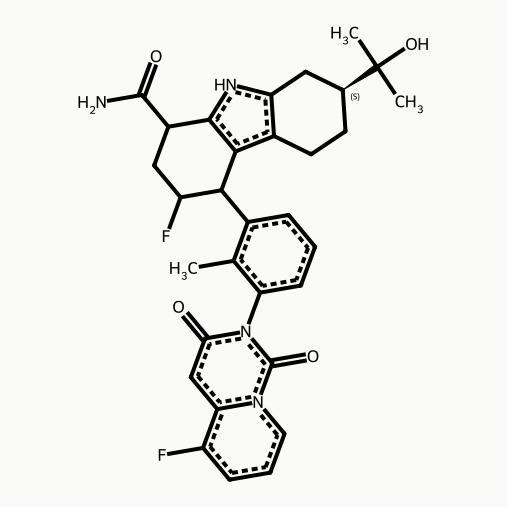 Cc1c(C2c3c([nH]c4c3CC[C@H](C(C)(C)O)C4)C(C(N)=O)CC2F)cccc1-n1c(=O)cc2c(F)cccn2c1=O